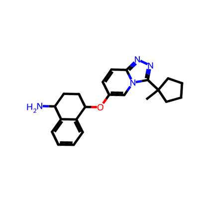 CC1(c2nnc3ccc(OC4CCC(N)c5ccccc54)cn23)CCCC1